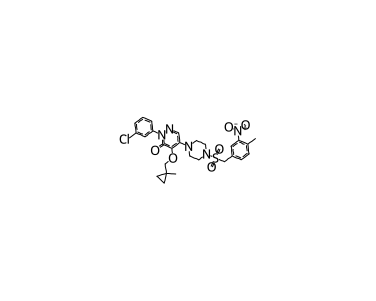 Cc1ccc(CS(=O)(=O)N2CCN(c3cnn(-c4cccc(Cl)c4)c(=O)c3OCC3(C)CC3)CC2)cc1[N+](=O)[O-]